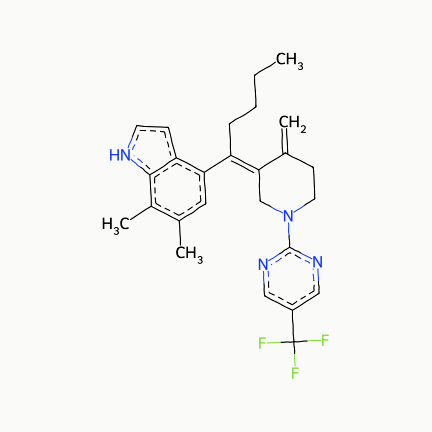 C=C1CCN(c2ncc(C(F)(F)F)cn2)C/C1=C(/CCCC)c1cc(C)c(C)c2[nH]ccc12